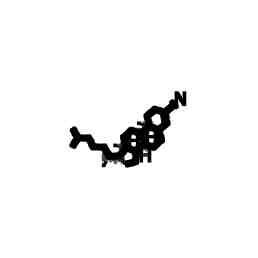 CC(C)CCC[C@@H](C)[C@H]1CC[C@H]2[C@@H]3CC=C4C=C(C#N)CC[C@]4(C)[C@H]3CC[C@]12C